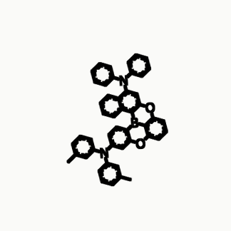 Cc1cccc(N(c2cccc(C)c2)c2ccc3c(c2)Oc2cccc4c2B3c2c(cc(N(c3ccccc3)c3ccccc3)c3ccccc23)O4)c1